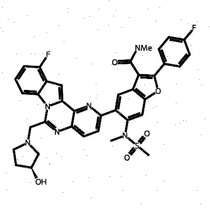 CNC(=O)c1c(-c2ccc(F)cc2)oc2cc(N(C)S(C)(=O)=O)c(-c3ccc4nc(CN5CC[C@H](O)C5)n5c6cccc(F)c6cc5c4n3)cc12